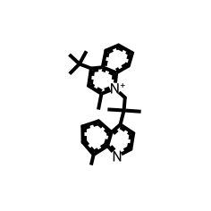 Cc1cccc2c(C(C)(C)C[n+]3c(C)cc(C(C)(C)C)c4ccccc43)ccnc12